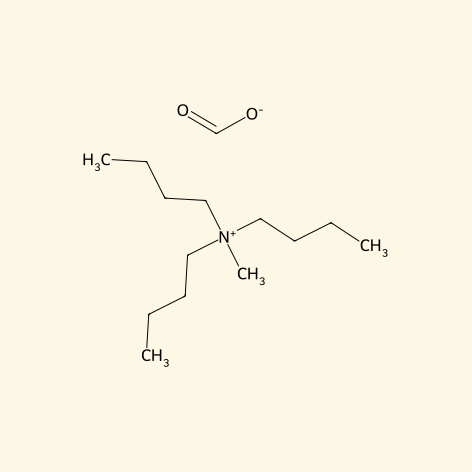 CCCC[N+](C)(CCCC)CCCC.O=C[O-]